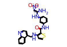 N/C(=C\[N+](=O)[O-])Nc1cccc(NC(=O)c2sccc2NCc2ccnc3ccccc23)c1